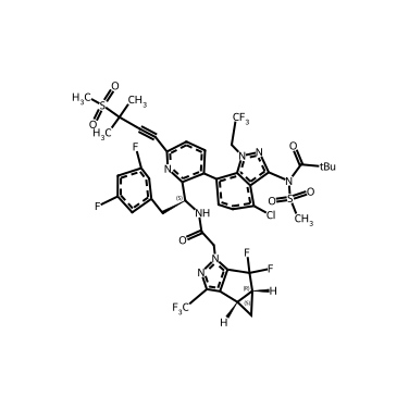 CC(C)(C)C(=O)N(c1nn(CC(F)(F)F)c2c(-c3ccc(C#CC(C)(C)S(C)(=O)=O)nc3[C@H](Cc3cc(F)cc(F)c3)NC(=O)Cn3nc(C(F)(F)F)c4c3C(F)(F)[C@@H]3C[C@H]43)ccc(Cl)c12)S(C)(=O)=O